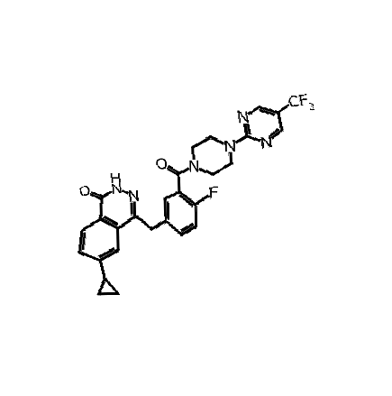 O=C(c1cc(Cc2n[nH]c(=O)c3ccc(C4CC4)cc23)ccc1F)N1CCN(c2ncc(C(F)(F)F)cn2)CC1